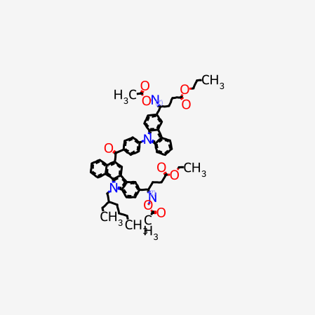 CCCCC(CC)Cn1c2ccc(/C(CCC(=O)OCC)=N\OC(C)=O)cc2c2cc(C(=O)c3ccc(-n4c5ccccc5c5cc(/C(CCC(=O)OCCC)=N\OC(C)=O)ccc54)cc3)c3ccccc3c21